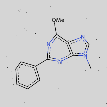 COc1nc(-c2ccccc2)nc2c1ncn2C